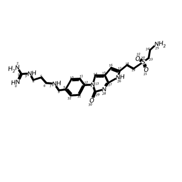 N=C(N)NCCCNCc1ccc(-n2cc3cc(CCS(=O)(=O)CCN)[nH]c3nc2=O)cc1